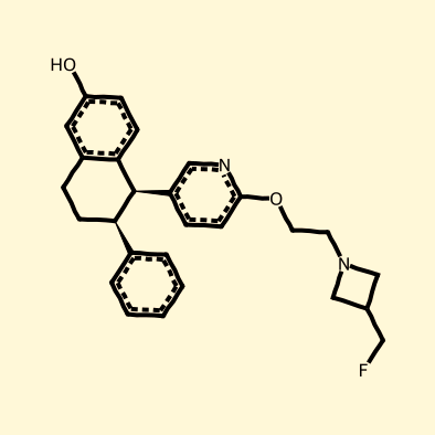 Oc1ccc2c(c1)CC[C@H](c1ccccc1)[C@@H]2c1ccc(OCCN2CC(CF)C2)nc1